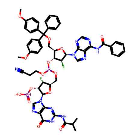 COc1ccc(C(OC[C@H]2O[C@@H](n3cnc4c(NC(=O)c5ccccc5)ncnc43)[C@@H](F)[C@@H]2OP(OCCC#N)OC[C@H]2O[C@@H](n3cnc4c(=O)[nH]c(NC(=O)C(C)C)nc43)[C@H](O[PH](=O)O)[C@@H]2F)(c2ccccc2)c2ccc(OC)cc2)cc1